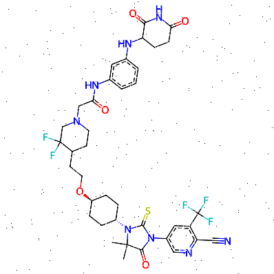 CC1(C)C(=O)N(c2cnc(C#N)c(C(F)(F)F)c2)C(=S)N1[C@H]1CC[C@H](OCCC2CCN(CC(=O)Nc3cccc(NC4CCC(=O)NC4=O)c3)CC2(F)F)CC1